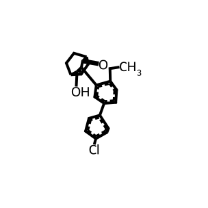 CCc1ccc(-c2ccc(Cl)cc2)cc1C1=C(O)C2CCC(CC2)C1=O